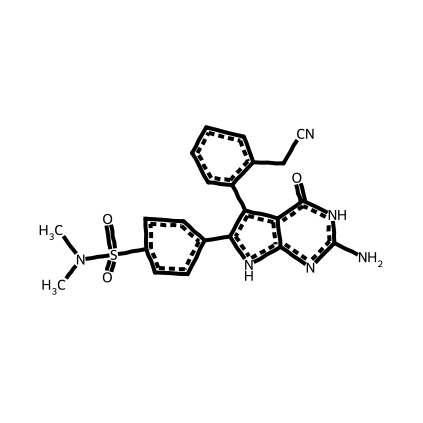 CN(C)S(=O)(=O)c1ccc(-c2[nH]c3nc(N)[nH]c(=O)c3c2-c2ccccc2CC#N)cc1